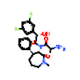 C[C@H](N)C(=O)N(C(=O)[C@@H](O)c1cc(F)cc(F)c1)[C@@H]1C(=O)N(C)CCC[C@@H]1c1ccccc1